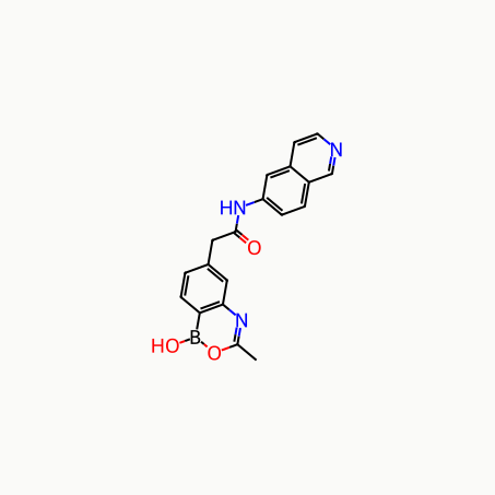 CC1=Nc2cc(CC(=O)Nc3ccc4cnccc4c3)ccc2B(O)O1